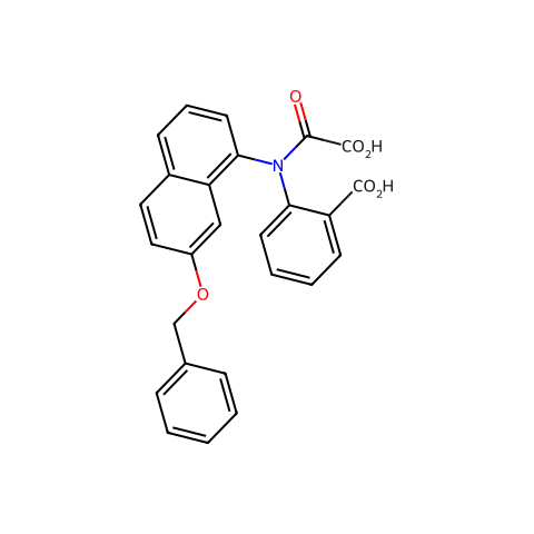 O=C(O)C(=O)N(c1ccccc1C(=O)O)c1cccc2ccc(OCc3ccccc3)cc12